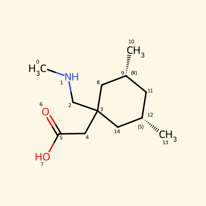 CNCC1(CC(=O)O)C[C@H](C)C[C@H](C)C1